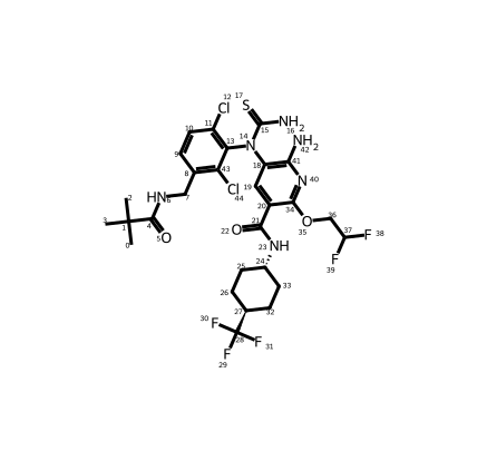 CC(C)(C)C(=O)NCc1ccc(Cl)c(N(C(N)=S)c2cc(C(=O)N[C@H]3CC[C@H](C(F)(F)F)CC3)c(OCC(F)F)nc2N)c1Cl